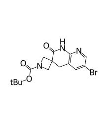 CC(C)(C)OC(=O)N1CC2(Cc3cc(Br)cnc3NC2=O)C1